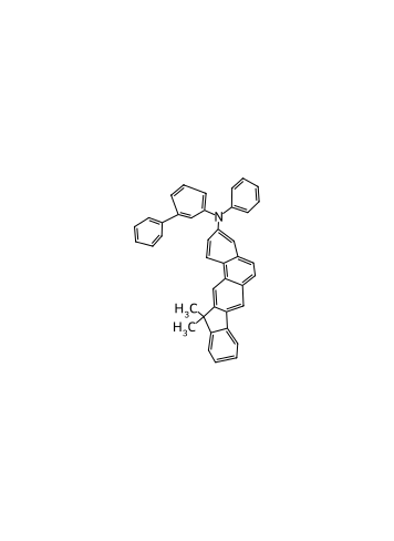 CC1(C)c2ccccc2-c2cc3ccc4cc(N(c5ccccc5)c5cccc(-c6ccccc6)c5)ccc4c3cc21